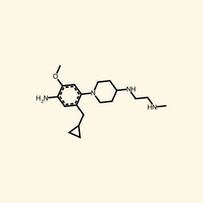 CNCCNC1CCN(c2cc(OC)c(N)cc2CC2CC2)CC1